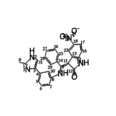 Cc1nc(-c2cccc(N/C(=C3\C(=O)Nc4ccc([N+](=O)[O-])cc43)c3ccccc3)c2)c[nH]1